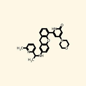 Cc1cccc(C(C)Nc2ccc3c(c2)Cc2cccc(-c4cc(N5CCOCC5)cc(=O)[nH]4)c2O3)n1